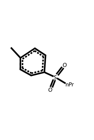 [CH2]CCS(=O)(=O)c1ccc(C)cc1